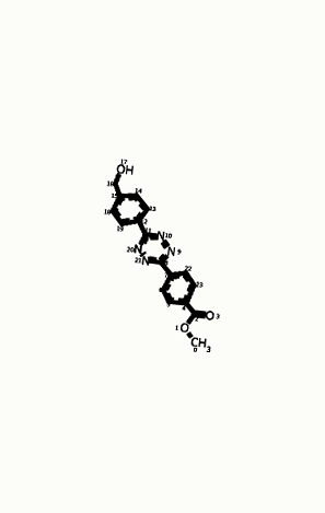 COC(=O)c1ccc(-c2nnc(-c3ccc(CO)cc3)nn2)cc1